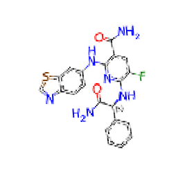 NC(=O)c1cc(F)c(N[C@H](C(N)=O)c2ccccc2)nc1Nc1ccc2ncsc2c1